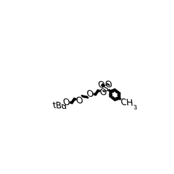 Cc1ccc(S(=O)(=O)OCCOCCOCCOC(C)(C)C)cc1